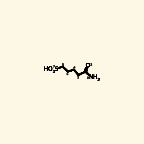 NC(=O)CCCCS(=O)(=O)O